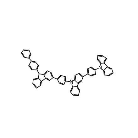 c1ccc(-c2ccc(C3c4ccccc4-c4cc(-c5ccc(-n6c7ccccc7c7cc(-c8ccc(-n9c%10ccccc%10c%10ccccc%109)cc8)ccc76)cc5)ccc43)cc2)cc1